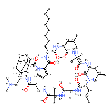 CCCCCCCC[C@H](NC(=O)c1cccn1C(=O)C12CC3CC(CC(C3)C1)C2)C(=O)N[C@@H](CC(C)C)C(=O)NC(C)(C)C(=O)N[C@@H](CC(C)C)C(=O)N[C@@H](CC(C)C)C(=O)NC(C)(C)C(=O)NC(C)(C)C(=O)NCCC(=O)N[C@@H](C)CN(C)C